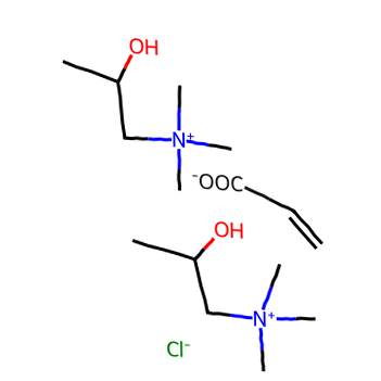 C=CC(=O)[O-].CC(O)C[N+](C)(C)C.CC(O)C[N+](C)(C)C.[Cl-]